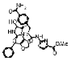 COC(=O)c1csc(NC(=O)[C@H](Cc2ccc(C(N)=O)cc2)[N+]2(C3=C(Cc4ccccc4)OCO3)C(=O)NC(O)C2=O)n1